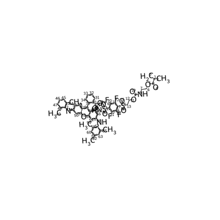 C=C(C)C(=O)OCCNC(=O)OCCS(=O)(=O)c1c(F)c(F)c(S(=O)(=O)NS(=O)(=O)c2ccccc2-c2c3cc/c(=N\c4c(C)cccc4C)cc-3oc3cc(Nc4c(C)cc(C)cc4C)ccc23)c(F)c1F